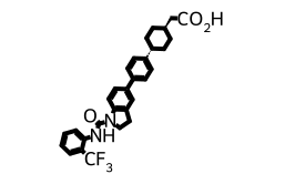 O=C(O)C[C@H]1CC[C@H](c2ccc(-c3ccc4c(c3)CCN4C(=O)Nc3ccccc3C(F)(F)F)cc2)CC1